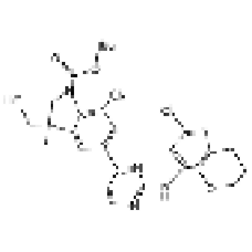 CC(C)(C)OC(=O)N1CC(C)(CO)c2cc(-c3ccnc(Nc4cc(Cl)cc5c4OCCC5)n3)cc(C#N)c21